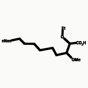 CCCCCCCCCCCCCCCC(OC)C(OCC)C(=O)O